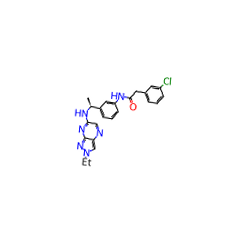 CCn1cc2ncc(N[C@@H](C)c3cccc(NC(=O)Cc4cccc(Cl)c4)c3)nc2n1